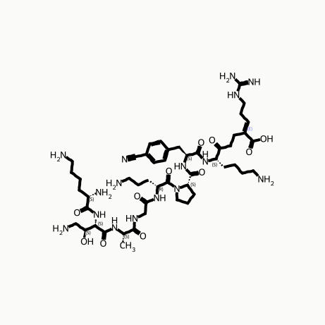 C[C@H](NC(=O)[C@@H](NC(=O)[C@@H](N)CCCCN)[C@@H](O)CN)C(=O)NCC(=O)N[C@H](CCCN)C(=O)N1CCC[C@H]1C(=O)N[C@@H](Cc1ccc(C#N)cc1)C(=O)N[C@@H](CCCCN)C(=O)CC/C(=C\CCNC(=N)N)C(=O)O